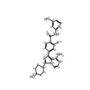 CCCc1ccnc(NC(=O)c2ccc(-c3nc(C4CCC(O)CC4)n4ccnc(N)c34)cc2F)c1